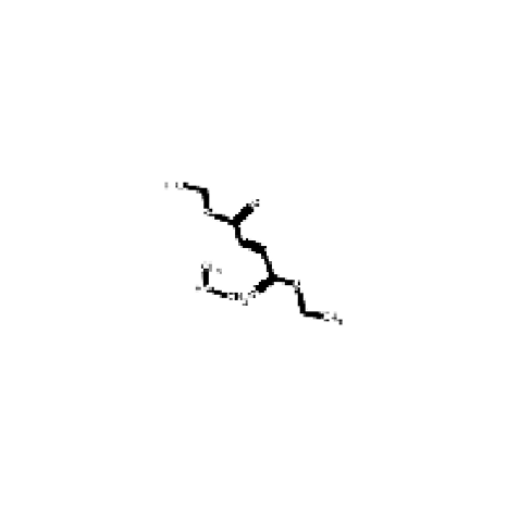 CCOC(=O)C=CC(=O)OCC.CNC